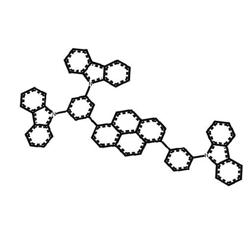 c1cc(-c2ccc3ccc4c(-c5cc(-n6c7ccccc7c7ccccc76)cc(-n6c7ccccc7c7ccccc76)c5)ccc5ccc2c3c54)cc(-n2c3ccccc3c3ccccc32)c1